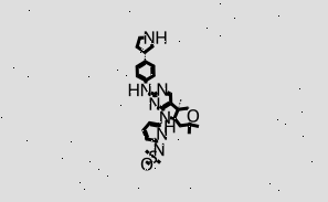 CC1(C)C[C@H]2N(c3cccc(N=S(C)(C)=O)n3)c3nc(Nc4ccc([C@@H]5CCNC5)cc4)ncc3[C@@]2(C)CO1